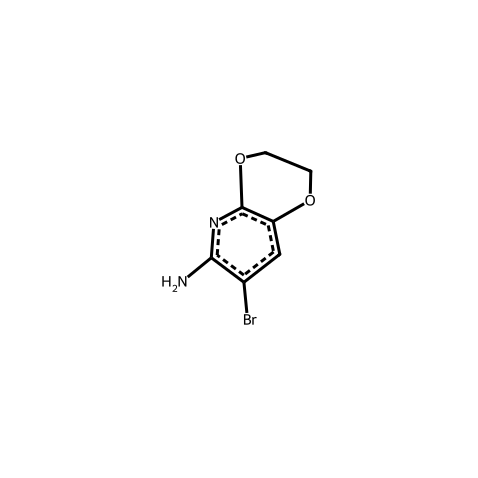 Nc1nc2c(cc1Br)OCCO2